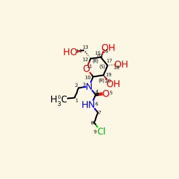 CCCN(C(=O)NCCCl)C1O[C@H](CO)[C@@H](O)[C@H](O)[C@H]1O